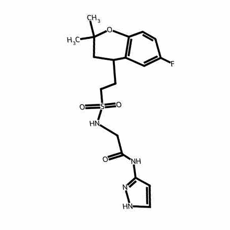 CC1(C)CC(CCS(=O)(=O)NCC(=O)Nc2cc[nH]n2)c2cc(F)ccc2O1